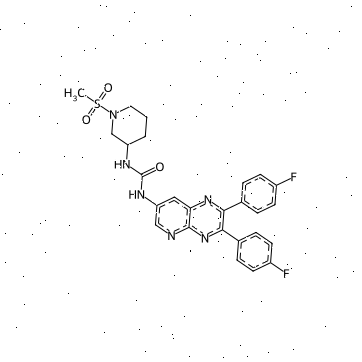 CS(=O)(=O)N1CCCC(NC(=O)Nc2cnc3nc(-c4ccc(F)cc4)c(-c4ccc(F)cc4)nc3c2)C1